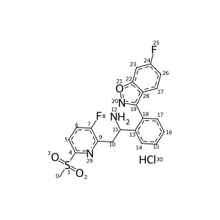 CS(=O)(=O)c1ccc(F)c(CC(N)c2ccccc2-c2noc3cc(F)ccc23)n1.Cl